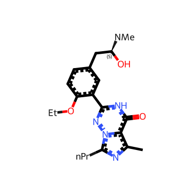 CCCc1nc(C)c2c(=O)[nH]c(-c3cc(C[C@H](O)NC)ccc3OCC)nn12